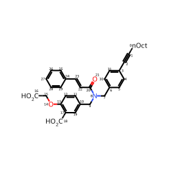 CCCCCCCCC#Cc1ccc(CN(Cc2ccc(OCC(=O)O)c(C(=O)O)c2)C(=O)/C=C/c2ccccc2)cc1